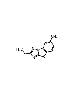 CCc1nc2sc3ccc(C)cc3n2n1